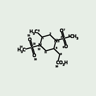 CC1CN(S(C)(=O)=O)C(CC(=O)O)CN1S(C)(=O)=O